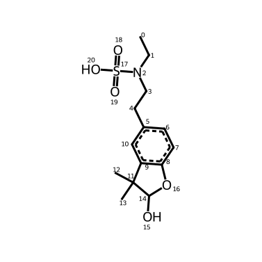 CCN(CCc1ccc2c(c1)C(C)(C)C(O)O2)S(=O)(=O)O